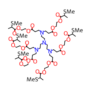 CSC(C)C(=O)OCCOC(=O)CCN(CCC(=O)OCCOC(=O)C(C)SC)CCN(CCN(CCC(=O)OCCOC(=O)C(C)SC)CCC(=O)OCCOC(=O)C(C)SC)CCN(CCC(=O)OCCOC(=O)C(C)SC)CCC(=O)OCCOC(=O)C(C)SC